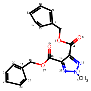 Cn1nc(C(=O)OCc2ccccc2)c(C(=O)OCc2ccccc2)n1